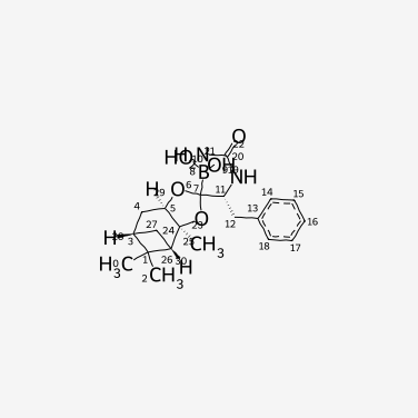 CC1(C)[C@@H]2C[C@H]3OC(B(O)O)([C@@H](Cc4ccccc4)NC(N)=O)O[C@@]3(C)[C@H]1C2